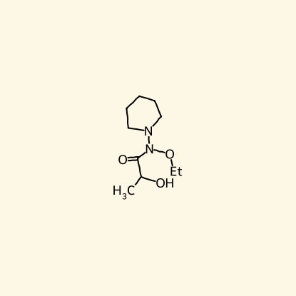 CCON(C(=O)C(C)O)N1CCCCC1